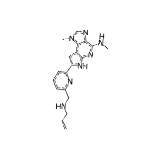 C=CCNCc1cccc(-c2cc3c(nc(NC)c4ncn(C)c43)[nH]2)n1